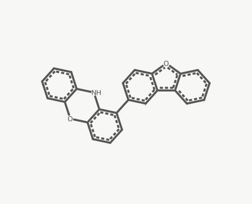 [c]1c(-c2cccc3c2Nc2ccccc2O3)ccc2oc3ccccc3c12